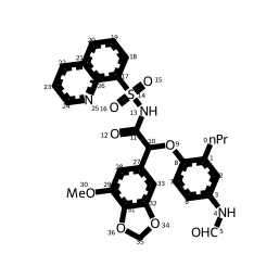 CCCc1cc(NC=O)ccc1OC(C(=O)NS(=O)(=O)c1cccc2cccnc12)c1cc(OC)c2c(c1)OCO2